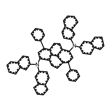 c1ccc(-c2cc(N(c3ccc4ccccc4c3)c3ccc4ccccc4c3)c3ccc4c(-c5ccccc5)cc(N(c5ccc6ccccc6c5)c5ccc6ccccc6c5)c5ccc2c3c45)cc1